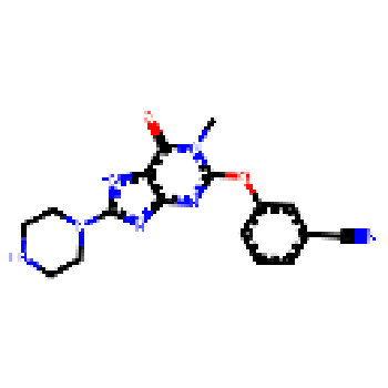 Cn1c(Oc2cccc(C#N)c2)nc2nc(N3CCNCC3)[nH]c2c1=O